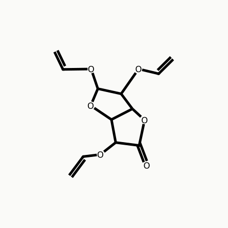 C=COC1OC2C(OC=C)C(=O)OC2C1OC=C